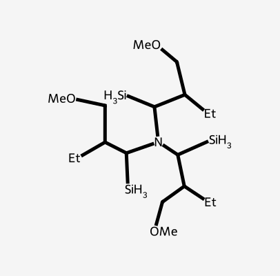 CCC(COC)C([SiH3])N(C([SiH3])C(CC)COC)C([SiH3])C(CC)COC